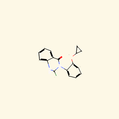 O=C1c2ccccc2NC(Cl)N1c1ccccc1OC1CC1